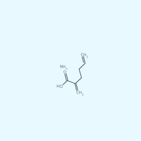 C=CCCC(=C)C(=O)O.N